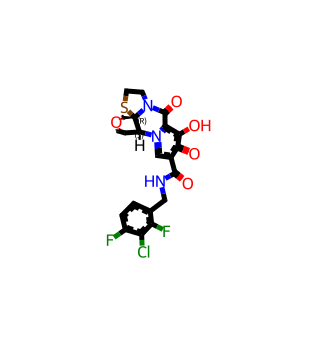 O=C(NCc1ccc(F)c(Cl)c1F)c1cn2c(c(O)c1=O)C(=O)N1CCS[C@]13COCC[C@H]23